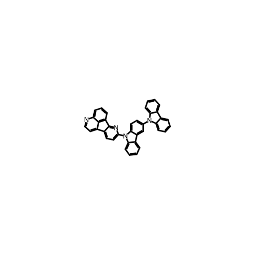 c1cc2c3c(ccnc3c1)-c1ccc(-n3c4ccccc4c4cc(-n5c6ccccc6c6ccccc65)ccc43)nc1-2